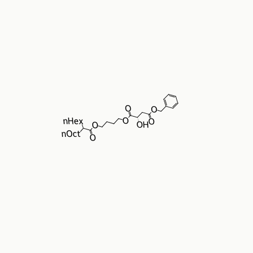 CCCCCCCCC(CCCCCC)C(=O)OCCCCOC(=O)[C@@H](O)CC(=O)OCc1ccccc1